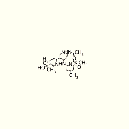 CC(=O)Nc1cc(Nc2cc(C)cc(S(C)(=O)=O)n2)c(-c2ccc(C(C)(C)O)cn2)cn1